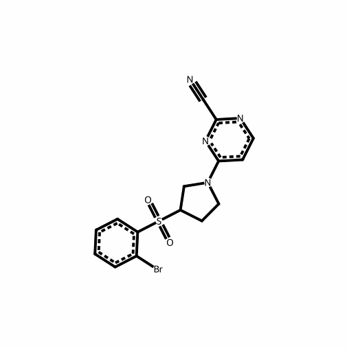 N#Cc1nccc(N2CCC(S(=O)(=O)c3ccccc3Br)C2)n1